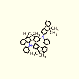 CC1(C)c2ccccc2-c2ccc(N(c3ccccc3)c3ccc4c(c3)C(C)(C)c3cc5ccccc5c(N(c5ccccc5)c5ccc6c(c5)C(C)(C)c5ccccc5-6)c3-4)cc21